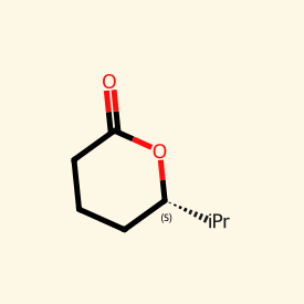 CC(C)[C@@H]1CCCC(=O)O1